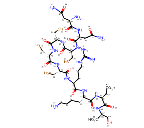 N=C(N)NCCC[C@H](NC(=O)[C@H](CS)NC(=O)[C@H](CS)NC(=O)[C@H](CS)NC(=O)[C@H](CS)NC(=O)[C@H](CC(N)=O)NC(=O)[C@@H](N)CC(N)=O)C(=O)N[C@@H](CCCCN)C(=O)N[C@@H](CC(=O)O)C(=O)N[C@@H](CO)C(=O)O